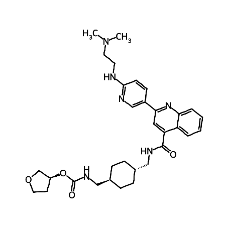 CN(C)CCNc1ccc(-c2cc(C(=O)NC[C@H]3CC[C@H](CNC(=O)O[C@H]4CCOC4)CC3)c3ccccc3n2)cn1